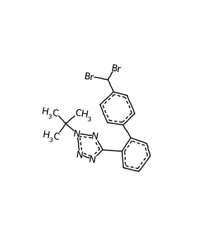 CC(C)(C)n1nnc(-c2ccccc2-c2ccc(C(Br)Br)cc2)n1